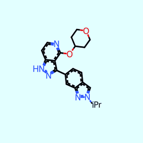 CC(C)n1cc2ccc(-c3n[nH]c4ccnc(OC5CCOCC5)c34)cc2n1